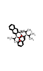 CC(C)P(c1cc2ccccc2cc1P(C)c1cc2ccccc2cc1P(C(C)C)C(C)C)C(C)C